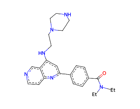 CCN(CC)C(=O)c1ccc(-c2cc(NCCN3CCNCC3)c3cnccc3n2)cc1